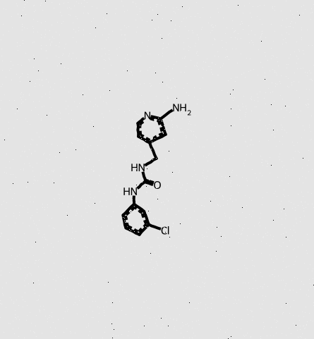 Nc1cc(CNC(=O)Nc2cccc(Cl)c2)ccn1